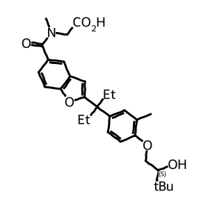 CCC(CC)(c1ccc(OC[C@@H](O)C(C)(C)C)c(C)c1)c1cc2cc(C(=O)N(C)CC(=O)O)ccc2o1